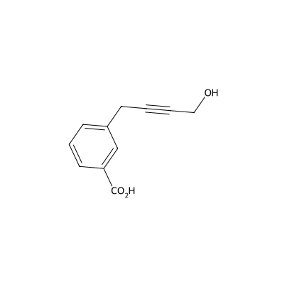 O=C(O)c1cccc(CC#CCO)c1